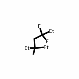 CCC(F)(F)CC(C)(CC)CC